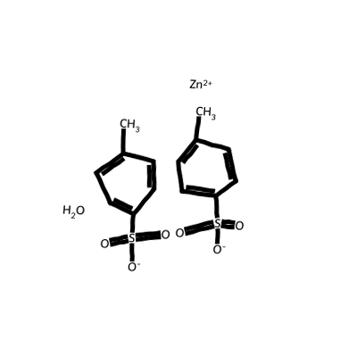 Cc1ccc(S(=O)(=O)[O-])cc1.Cc1ccc(S(=O)(=O)[O-])cc1.O.[Zn+2]